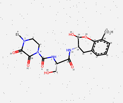 CCN1CCN(C(=O)N[C@@H](CO)C(=O)N[C@H]2Cc3cccc(C(=O)O)c3OB2O)C(=O)C1=O